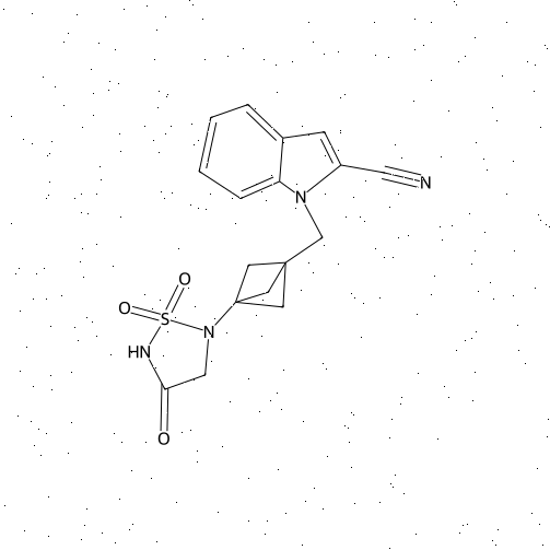 N#Cc1cc2ccccc2n1CC12CC(N3CC(=O)NS3(=O)=O)(C1)C2